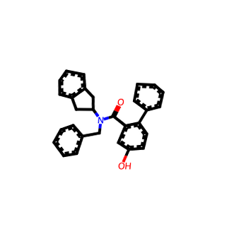 O=C(c1cc(O)ccc1-c1ccccc1)N(Cc1ccccc1)C1Cc2ccccc2C1